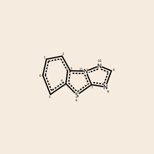 c1ccc2c(c1)sc1ncnn12